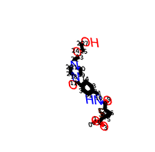 COC(=O)c1ccc(C(=O)NCc2ccc(C(=O)N3CCN(CCOCCO)CC3)cc2)s1